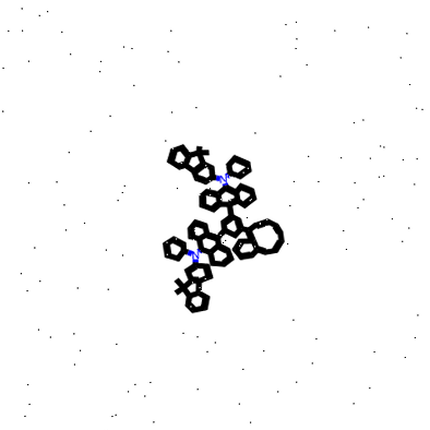 CC1(C)C2=C(C=CC(N(c3c4ccccc4c(C4=CC(C5=C6C=CC=CC6C(N(c6ccc7c(c6)C(C)(C)C6C=CC=CC76)C6C=CC=CC6)C6CC=CC=C56)CC(c5cccccccc6ccccc56)=C4)c4ccccc34)C3C=CC=CC3)C2)c2ccccc21